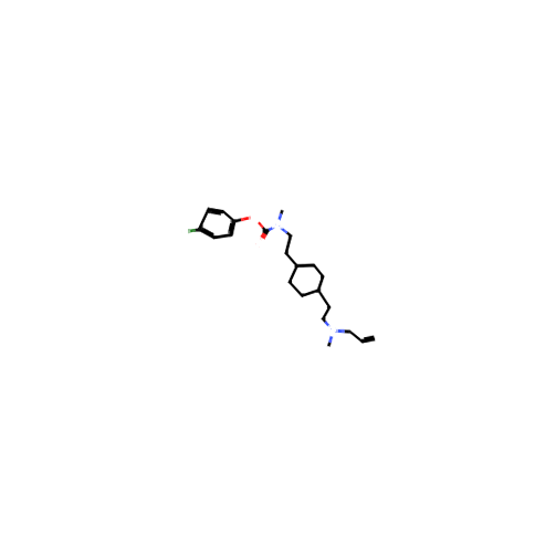 C=CCN(C)CCC1CCC(CCN(C)C(=O)Oc2ccc(Cl)cc2)CC1